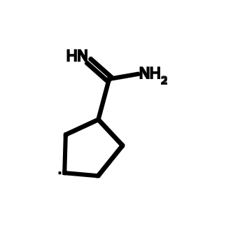 N=C(N)C1C[CH]CC1